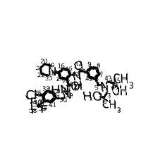 CC(O)CN(Cc1cccc(C(=O)Nc2ccc(N3CCCCC3)cc2C(=O)N/N=C\c2ccc(Cl)c(C(F)(F)F)c2)c1)CC(C)O